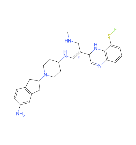 CNC/C(=C\NC1CCN(C2Cc3ccc(N)cc3C2)CC1)C1C=Nc2cccc(SF)c2N1